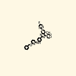 CC1COCCN1c1nc(-c2ccc(Nc3cccc(OCc4ccccc4)n3)cc2)nc2c1CCN(c1ncc(F)cn1)C2